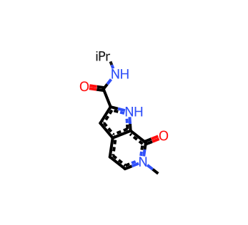 CC(C)NC(=O)c1cc2ccn(C)c(=O)c2[nH]1